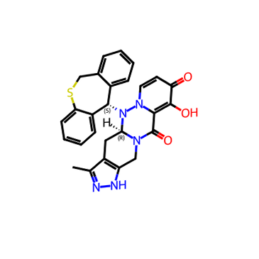 Cc1n[nH]c2c1C[C@@H]1N(C2)C(=O)c2c(O)c(=O)ccn2N1[C@H]1c2ccccc2CSc2ccccc21